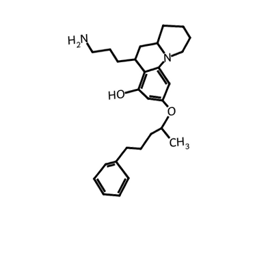 CC(CCCc1ccccc1)Oc1cc(O)c2c(c1)N1CCCCC1CC2CCCN